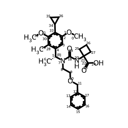 COc1cc([C@@H](C)N(CCOCc2ccccc2)C(=O)NC2(C(=O)O)CCC2)c(C)c(OC)c1C1CC1